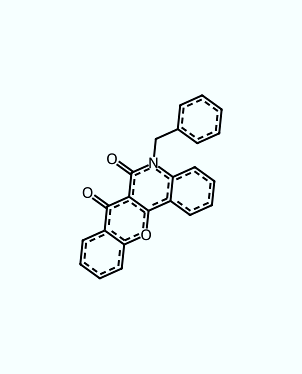 O=c1c2ccccc2oc2c1c(=O)n(Cc1ccccc1)c1ccccc21